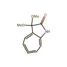 COC1(OC)C(=O)NC2=CC=C=CC=C21